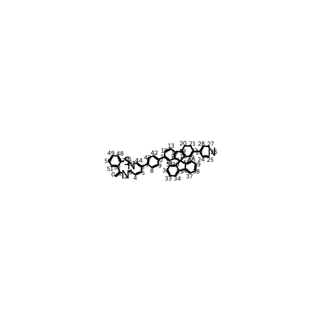 C=C1N=C2C=CC(c3ccc(-c4ccc5c(c4)C4(C6=C5CCC(c5ccncc5)=C6)c5ccccc5-c5ccccc54)cc3)=CN2Sc2ccccc21